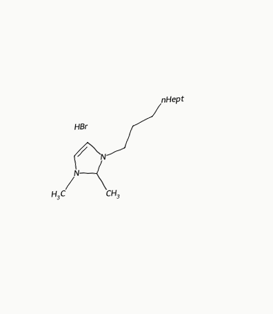 Br.CCCCCCCCCCN1C=CN(C)C1C